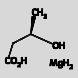 C[C@@H](O)CC(=O)O.[MgH2]